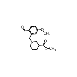 COC(=O)C1CCCN(Cc2cc(OC)ccc2C=O)C1